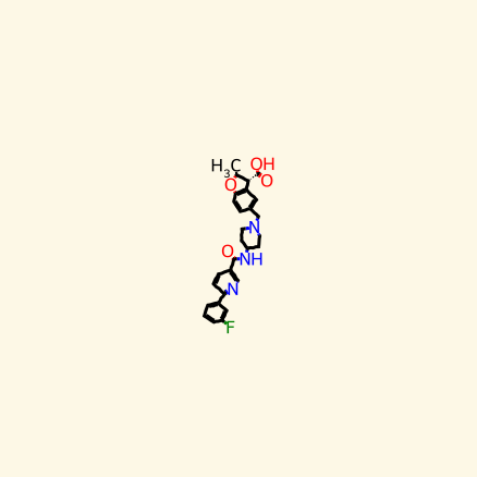 C[C@@H]1Oc2ccc(CN3CCC(NC(=O)c4ccc(-c5cccc(F)c5)nc4)CC3)cc2[C@H]1C(=O)O